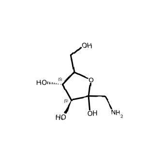 NCC1(O)OC(CO)[C@@H](O)[C@@H]1O